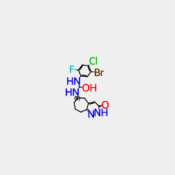 O=c1cc2c(n[nH]1)CCC[C@@H](NC(O)Nc1cc(Br)c(Cl)cc1F)C2